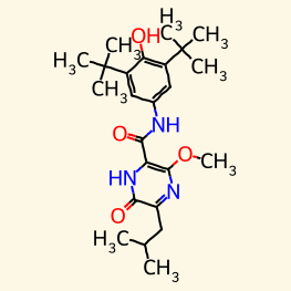 COc1nc(CC(C)C)c(=O)[nH]c1C(=O)Nc1cc(C(C)(C)C)c(O)c(C(C)(C)C)c1